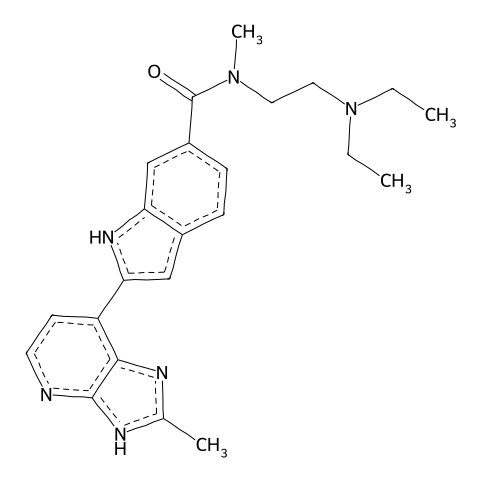 CCN(CC)CCN(C)C(=O)c1ccc2cc(-c3ccnc4[nH]c(C)nc34)[nH]c2c1